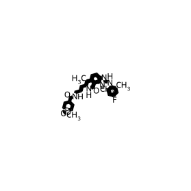 Cc1cc(F)ccc1Nc1nc2ccc3c(C)c(C=CCNC(=O)C4CCP(C)(=O)CC4)[nH]c(=O)c3c2n1C